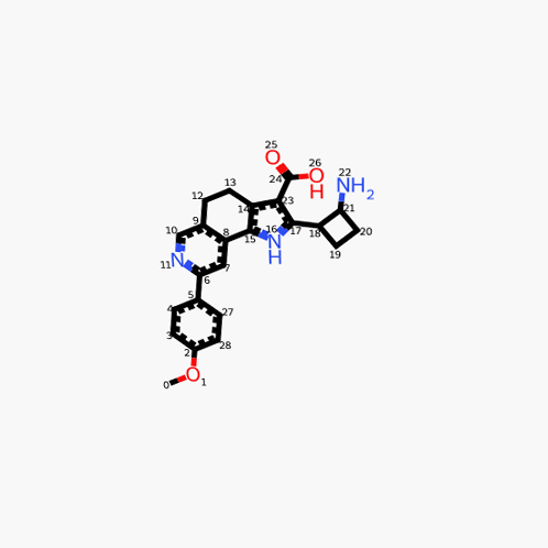 COc1ccc(-c2cc3c(cn2)CCc2c-3[nH]c(C3CCC3N)c2C(=O)O)cc1